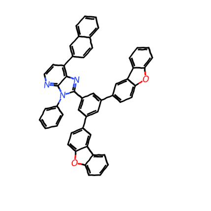 c1ccc(-n2c(-c3cc(-c4ccc5oc6ccccc6c5c4)cc(-c4ccc5oc6ccccc6c5c4)c3)nc3c(-c4ccc5ccccc5c4)ccnc32)cc1